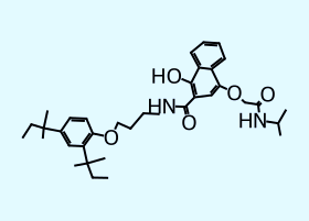 CCC(C)(C)c1ccc(OCCCCNC(=O)c2cc(OCC(=O)NC(C)C)c3ccccc3c2O)c(C(C)(C)CC)c1